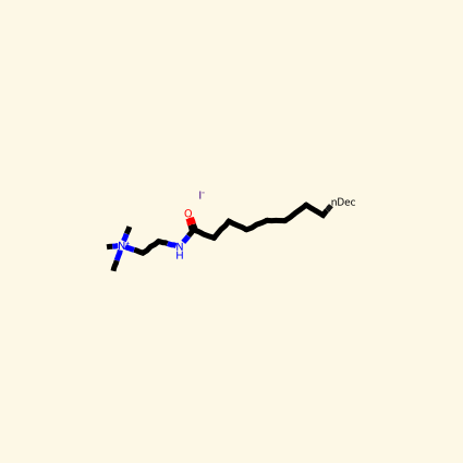 CCCCCCCCCCCCCCCCCC(=O)NCC[N+](C)(C)C.[I-]